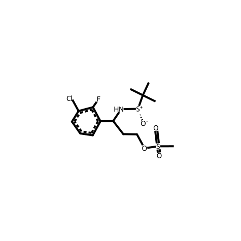 CC(C)(C)[S@+]([O-])NC(CCOS(C)(=O)=O)c1cccc(Cl)c1F